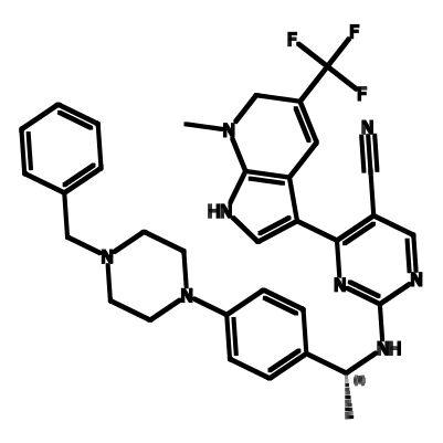 C[C@@H](Nc1ncc(C#N)c(-c2c[nH]c3c2C=C(C(F)(F)F)CN3C)n1)c1ccc(N2CCN(Cc3ccccc3)CC2)cc1